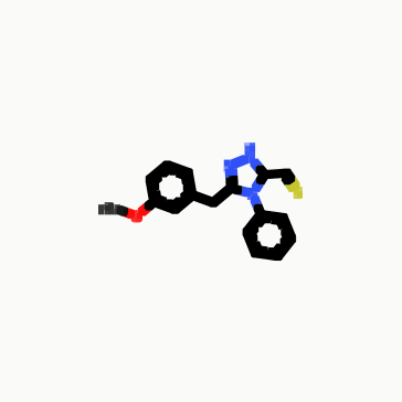 CCCCOc1cccc(CC2=NNC(C=S)N2c2ccccc2)c1